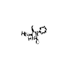 C=C1C(=N)NC(=O)N1c1ccccc1